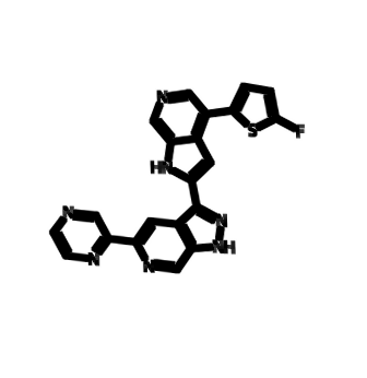 Fc1ccc(-c2cncc3[nH]c(-c4n[nH]c5cnc(-c6cnccn6)cc45)cc23)s1